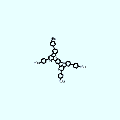 CC(C)(C)c1ccc(-c2ccc3c(c2)c2cc(-c4ccc(C(C)(C)C)cc4)nc4c5cc6c7nc(-c8ccc(C(C)(C)C)cc8)cc8c9cc(-c%10ccc(C(C)(C)C)cc%10)ccc9n(c6cc5n3c24)c87)cc1